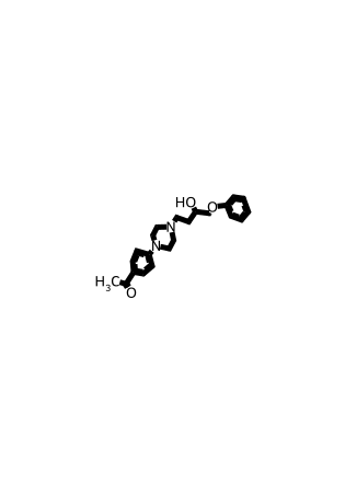 CC(=O)c1ccc(N2CCN(CCC(O)COc3ccccc3)CC2)cc1